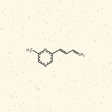 C=CC=Cc1cncc(C)n1